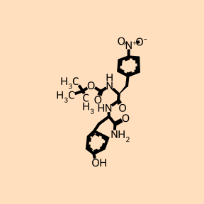 CC(C)(C)OC(=O)N[C@@H](Cc1ccc([N+](=O)[O-])cc1)C(=O)NC(Cc1ccc(O)cc1)C(N)=O